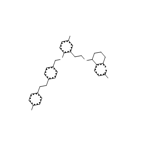 CCOC(=O)c1ccc2c(n1)CCCC2NCCc1cc(F)ccc1OCc1ccc(CCc2ccc(F)cc2)cc1.Cl.Cl